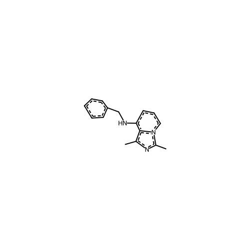 Cc1nc(C)n2cccc(NCc3ccccc3)c12